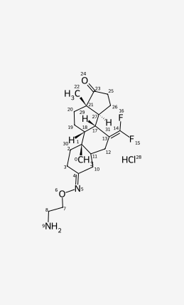 C[C@]12CCC(=NOCCN)CC1CC(=C(F)F)[C@@H]1[C@H]2CC[C@]2(C)C(=O)CC[C@@H]12.Cl